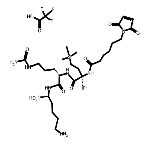 CC(C)[C@](CC[Si](C)(C)C)(NC(=O)CCCCCN1C(=O)C=CC1=O)C(=O)N[C@@H](CCCNC(N)=O)C(=O)N[C@@H](CCCCN)C(=O)O.O=C(O)C(F)(F)F